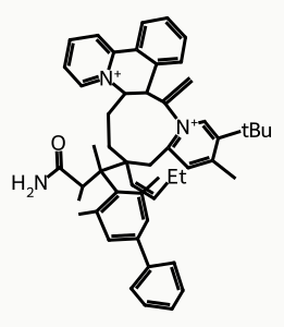 C=C1C2c3ccccc3-c3cccc[n+]3C2CCC(C=CCC)(C(C)(c2c(C)cc(-c3ccccc3)cc2C)C(C)C(N)=O)Cc2cc(C)c(C(C)(C)C)c[n+]21